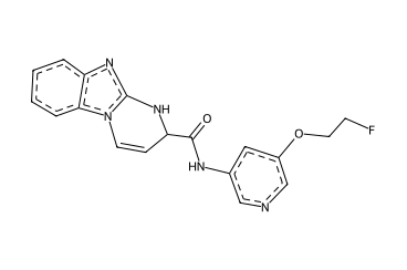 O=C(Nc1cncc(OCCF)c1)C1C=Cn2c(nc3ccccc32)N1